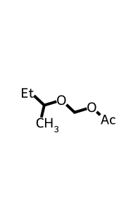 CCC(C)OCOC(C)=O